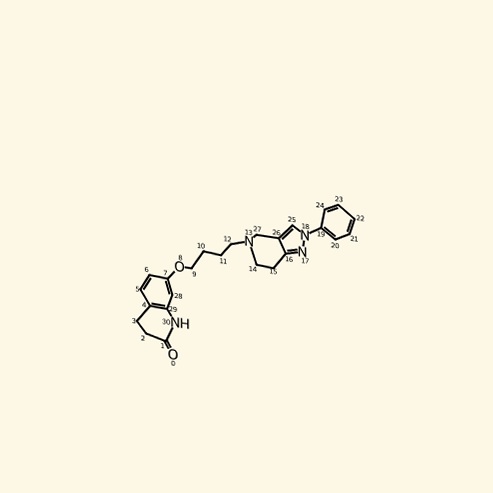 O=C1CCc2ccc(OCCCCN3CCc4nn(-c5ccccc5)cc4C3)cc2N1